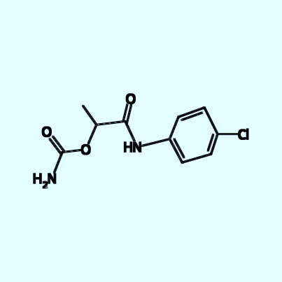 CC(OC(N)=O)C(=O)Nc1ccc(Cl)cc1